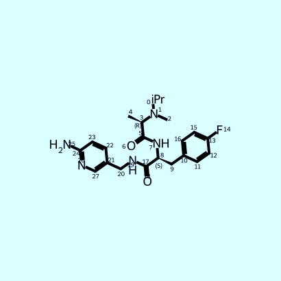 CC(C)N(C)[C@H](C)C(=O)N[C@@H](Cc1ccc(F)cc1)C(=O)NCc1ccc(N)nc1